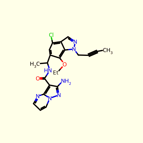 CC#CCn1ncc2c(Cl)cc(C(C)NC(=O)c3c(N)nn4cccnc34)c(OCC)c21